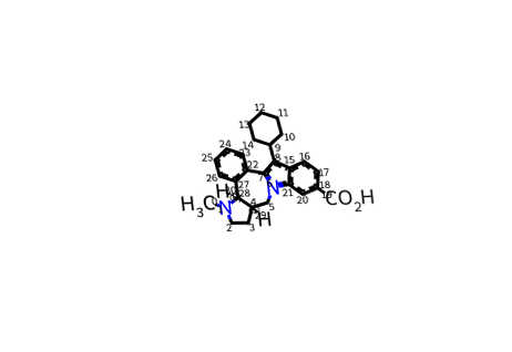 CN1CC[C@H]2Cn3c(c(C4CCCCC4)c4ccc(C(=O)O)cc43)-c3ccccc3[C@@H]21